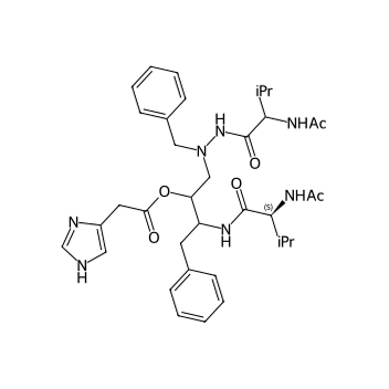 CC(=O)NC(C(=O)NN(Cc1ccccc1)CC(OC(=O)Cc1c[nH]cn1)C(Cc1ccccc1)NC(=O)[C@@H](NC(C)=O)C(C)C)C(C)C